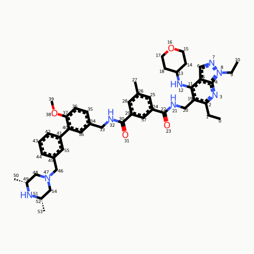 CCc1nc2c(cnn2CC)c(NC2CCOCC2)c1CNC(=O)c1cc(C)cc(C(=O)NCc2ccc(OC)c(-c3cccc(CN4C[C@@H](C)N[C@@H](C)C4)c3)c2)c1